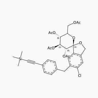 CC(=O)OCC1O[C@]2(OCc3cc(Cl)c(Cc4ccc(C#C[Si](C)(C)C)cc4)cc32)[C@H](OC(C)=O)[C@@H](OC(C)=O)[C@@H]1OC(C)=O